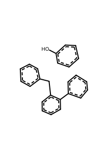 Oc1ccccc1.c1ccc(Cc2ccccc2-c2ccccc2)cc1